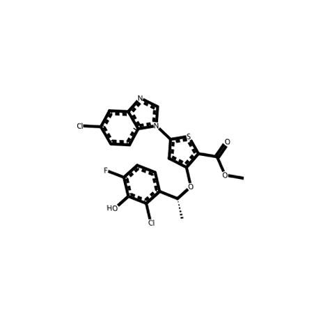 COC(=O)c1sc(-n2cnc3cc(Cl)ccc32)cc1O[C@H](C)c1ccc(F)c(O)c1Cl